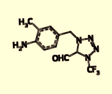 Cc1cc(CN2N=NN(C(F)(F)F)C2C=O)ccc1N